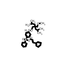 COCC(COC)(CC(C)C)CC(C)C.O=C(C=Cc1ccccc1)OP(=O)(c1ccccc1)c1ccccc1